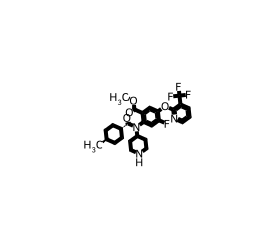 COC(=O)c1cc(Oc2ncccc2C(F)(F)F)c(F)cc1N(C(=O)[C@H]1CC[C@H](C)CC1)C1CCNCC1